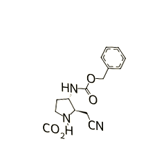 N#CC[C@@H]1[C@@H](NC(=O)OCc2ccccc2)CCN1C(=O)O